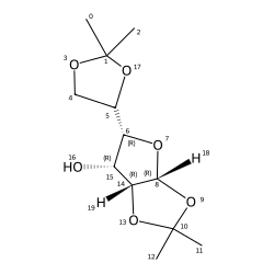 CC1(C)OCC([C@@H]2O[C@@H]3OC(C)(C)O[C@@H]3[C@@H]2O)O1